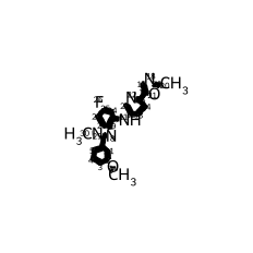 COc1cccc(-c2nc3c(Nc4ccc(-c5cnc(C)o5)nc4)cc(F)cc3n2C)c1